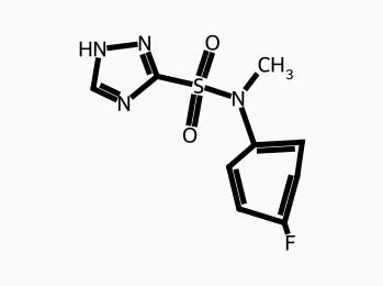 CN(c1ccc(F)cc1)S(=O)(=O)c1nc[nH]n1